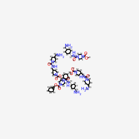 COC(=O)N1CCN(C(=O)NC[C@H]2CC[C@H](CN)CC2)CC1.NCC1CCN(C(=O)NCC2CCN(C(=O)OC[C@H]3CC[C@](COC(=O)N4CCC(CNC(=O)N5CCC(CN)CC5)CC4)([N+]4(C(=O)NC[C@H]5CC[C@H](CN)CC5)CCN(C(=O)OC5C6CCCCC65)CC4)CC3)CC2)CC1